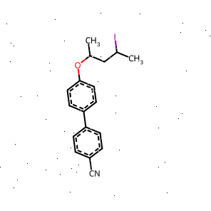 CC(I)CC(C)Oc1ccc(-c2ccc(C#N)cc2)cc1